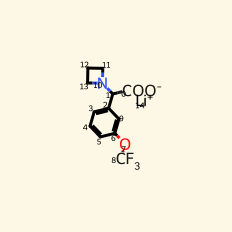 O=C([O-])C(c1cccc(OC(F)(F)F)c1)N1CCC1.[Li+]